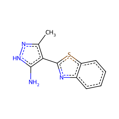 Cc1n[nH]c(N)c1-c1nc2ccccc2s1